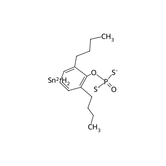 CCCCc1cccc(CCCC)c1OP(=O)([S-])[S-].[SnH2+2]